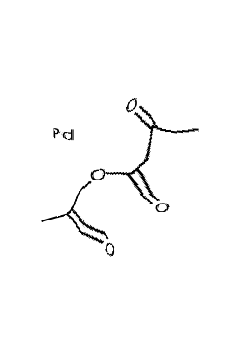 CC(=O)OC(=O)C(C)=O.[Pd]